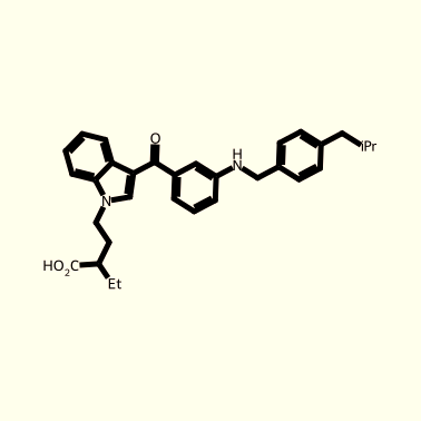 CCC(CCn1cc(C(=O)c2cccc(NCc3ccc(CC(C)C)cc3)c2)c2ccccc21)C(=O)O